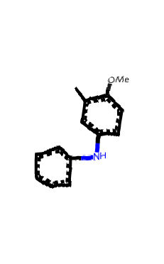 COc1ccc(Nc2ccccc2)cc1C